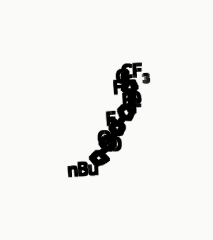 CCCCC1CCC(C2COC(c3ccc(C4CCC(C(F)(F)Oc5ccc(OC(F)(F)F)c(F)c5)CC4)c(F)c3)OC2)CC1